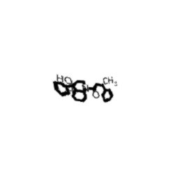 CC(CC(=O)N1CC[C@@](O)(c2ccccc2)[C@H]2CCCCC21)c1ccccc1